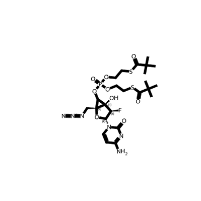 CC(C)(C)C(=O)SCCOP(=O)(OCCSC(=O)C(C)(C)C)OC1[C@@]2(CN=[N+]=[N-])O[C@@H](n3ccc(N)nc3=O)[C@H](F)[C@@]12O